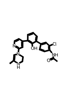 CC(=O)Nc1ccc(-c2cccc(-c3ccnc(N4C=C(C)NCC4)c3)c2O)cc1Cl